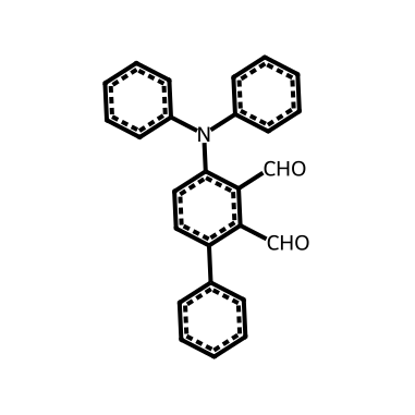 O=Cc1c(-c2ccccc2)ccc(N(c2ccccc2)c2ccccc2)c1C=O